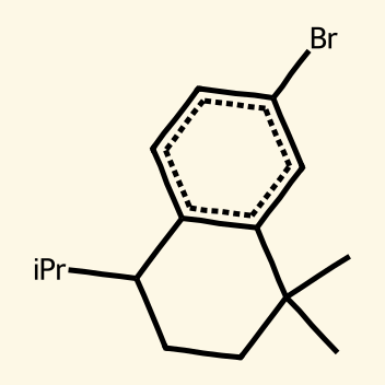 CC(C)C1CCC(C)(C)c2cc(Br)ccc21